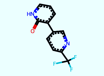 O=c1[nH]cccc1-c1ccc(C(F)(F)F)nc1